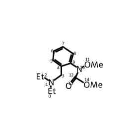 CCN(CC)Cc1ccccc1N(OC)C(=O)OC